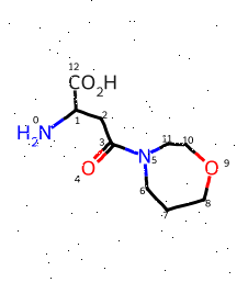 NC(CC(=O)N1CCCOCC1)C(=O)O